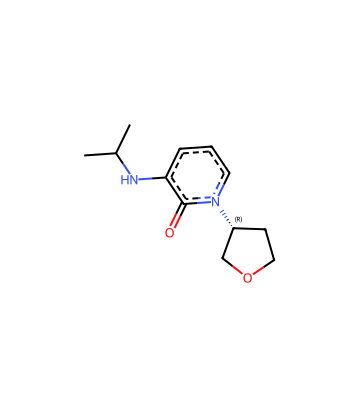 CC(C)Nc1cccn([C@@H]2CCOC2)c1=O